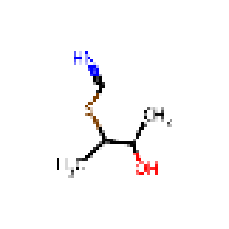 CC(SC=N)[C@@H](C)O